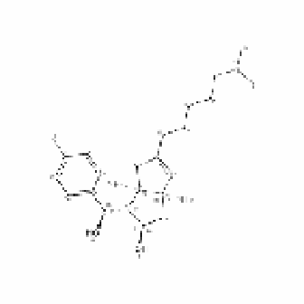 Cc1ccc([C@H](O)[C@@H]2[C@H]3CC(CCCCCN(C)C)=C[C@H]3C[C@H]2O)cc1